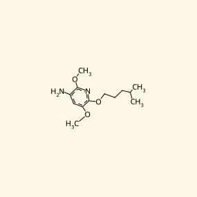 COc1cc(N)c(OC)nc1OCCCC(C)C